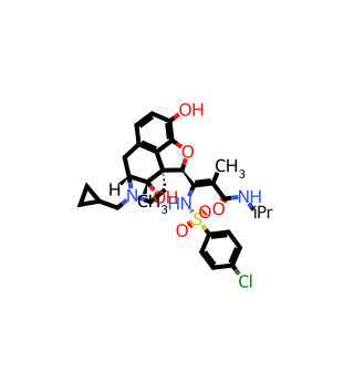 C/C(C(=O)NC(C)C)=C(/NS(=O)(=O)c1ccc(Cl)cc1)[C@@H]1Oc2c(O)ccc3c2[C@@]12CCN(CC1CC1)[C@H](C3)[C@@]2(C)O